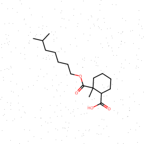 CC(C)CCCCCOC(=O)C1(C)CCCCC1C(=O)O